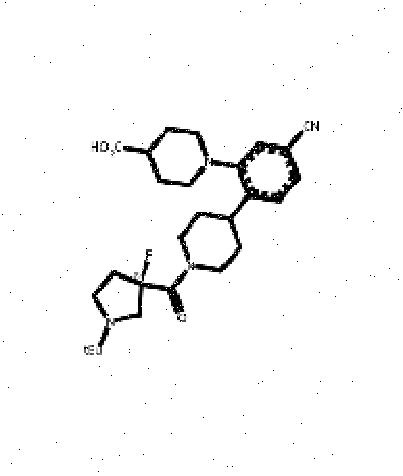 CC(C)(C)N1CC[C@](F)(C(=O)N2CCC(c3ccc(C#N)cc3N3CCC(C(=O)O)CC3)CC2)C1